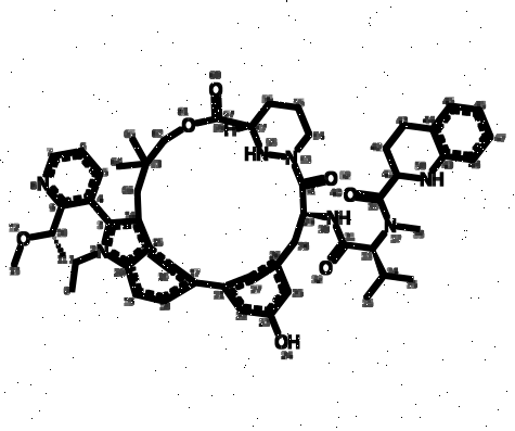 CCn1c(-c2cccnc2[C@H](C)OC)c2c3cc(ccc31)-c1cc(O)cc(c1)C[C@H](NC(=O)[C@H](C(C)C)N(C)C(=O)C1CCc3ccccc3N1)C(=O)N1CCC[C@H](N1)C(=O)OCC(C)(C)C2